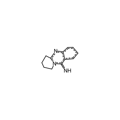 N=c1c2ccccc2nc2n1CCCC2